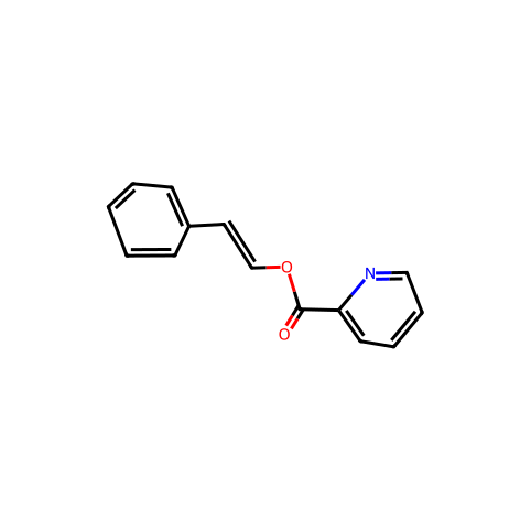 O=C(OC=Cc1ccccc1)c1ccccn1